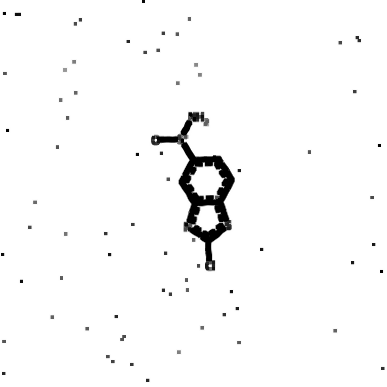 N[S+]([O-])c1ccc2sc(Cl)nc2c1